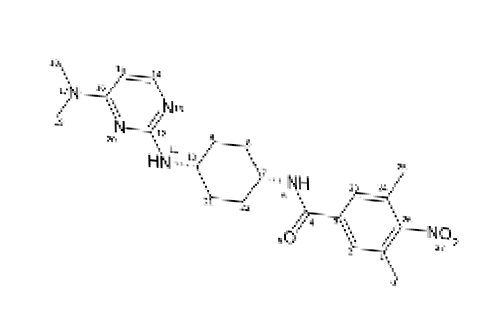 Cc1cc(C(=O)N[C@H]2CC[C@@H](Nc3nccc(N(C)C)n3)CC2)cc(C)c1[N+](=O)[O-]